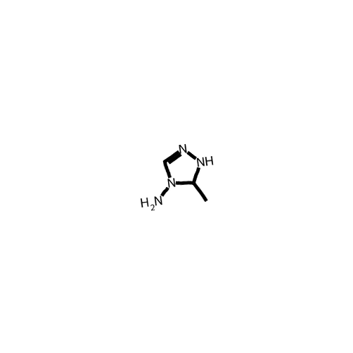 CC1NN=CN1N